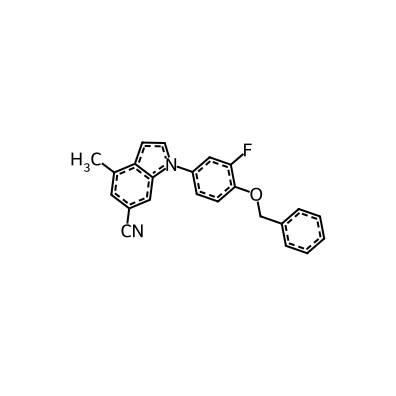 Cc1cc(C#N)cc2c1ccn2-c1ccc(OCc2ccccc2)c(F)c1